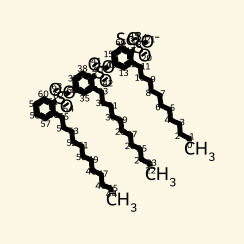 CCCCCCCCCCCCc1ccccc1S(=O)(=O)[O-].CCCCCCCCCCCCc1ccccc1S(=O)(=O)[O-].CCCCCCCCCCCCc1ccccc1S(=O)(=O)[O-].[Sc+3]